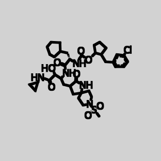 CS(=O)(=O)N1CCC2(CC1)CC(CC(NC(=O)[C@H](CC1CCCCC1)NC(=O)OC1CCCC1Cc1cccc(Cl)c1)C(O)C(=O)NC1CC1)C(=O)N2